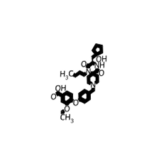 CCCCN1C(=O)[C@@H](CC2(O)CCCC2)NC(=O)C12CCN(Cc1ccc(Oc3ccc(C(=O)O)cc3OCC)cc1)CC2